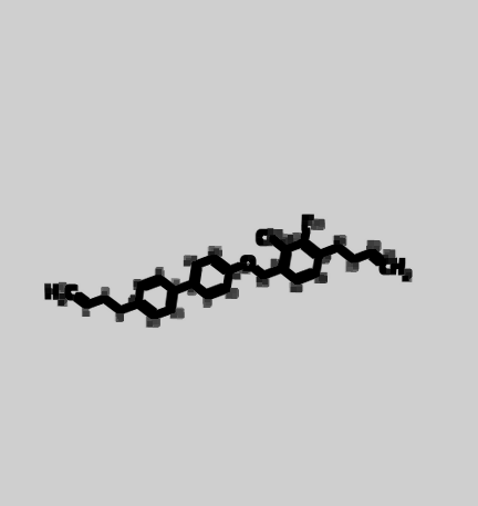 C=CCCc1ccc(-c2ccc(OCc3ccc(CCC=C)c(F)c3Cl)cc2)cc1